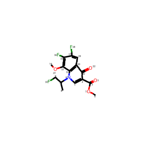 COC(=O)c1cn(C(C)CF)c2c(OC)c(F)c(F)cc2c1=O